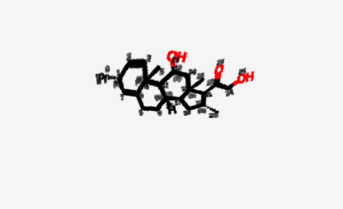 CC(C)[C@@H]1C=C[C@@]2(C)C(=C1)CC[C@@H]1C2[C@@H](O)C[C@@]2(C)C1C[C@@H](C)[C@@H]2C(=O)CO